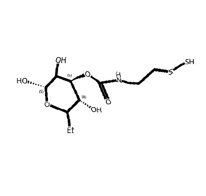 CCC1O[C@H](O)C(O)[C@@H](OC(=O)NCCSS)[C@@H]1O